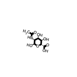 CC(=O)N[C@@H]1[C@H](O)[C@H](O)[C@H](C(=O)O)O[C@H]1O